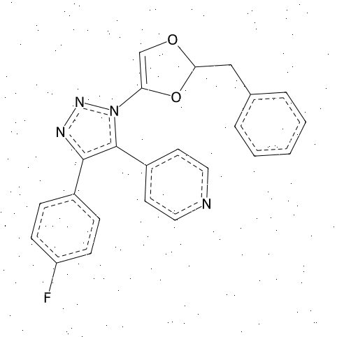 Fc1ccc(-c2nnn(C3=COC(Cc4ccccc4)O3)c2-c2ccncc2)cc1